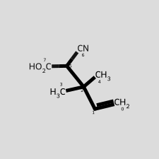 C=CC(C)(C)C(C#N)C(=O)O